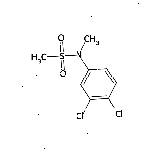 CN(c1ccc(Cl)c(Cl)c1)S(C)(=O)=O